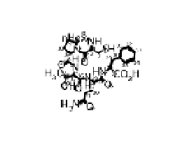 CCCCCCN[C@@H](CS)C(=O)N1CCC[C@H]1C(=O)N[C@H](C(=O)N[C@@H](CCC(N)=O)C(=O)N[C@@H](Cc1ccccc1)C(=O)O)[C@@H](C)O